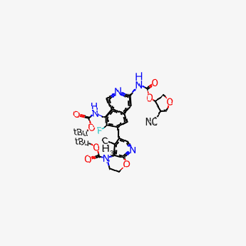 Cc1c(-c2cc3cc(NC(=O)OC4COCC4C#N)ncc3c(NC(=O)OC(C)(C)C)c2F)cnc2c1N(C(=O)OC(C)(C)C)CCO2